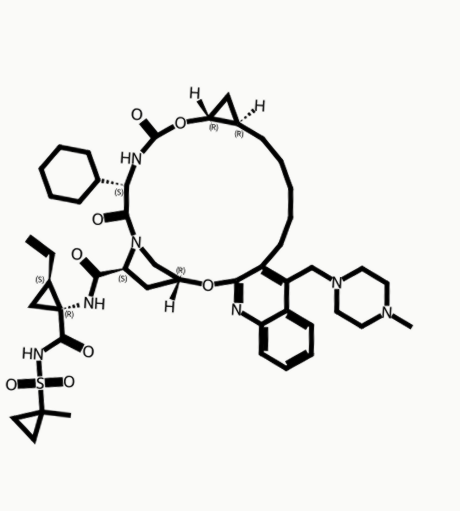 C=C[C@@H]1C[C@]1(NC(=O)[C@@H]1C[C@@H]2CN1C(=O)[C@H](C1CCCCC1)NC(=O)O[C@@H]1C[C@H]1CCCCCc1c(nc3ccccc3c1CN1CCN(C)CC1)O2)C(=O)NS(=O)(=O)C1(C)CC1